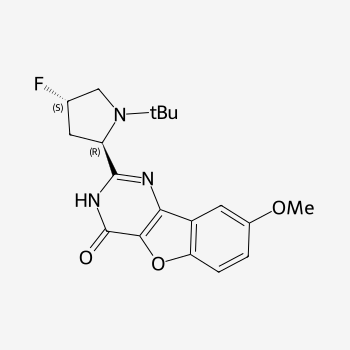 COc1ccc2oc3c(=O)[nH]c([C@H]4C[C@H](F)CN4C(C)(C)C)nc3c2c1